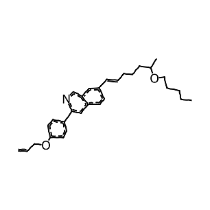 C=CCOc1ccc(-c2cc3ccc(/C=C/CCCC(C)OCCCCC)cc3cn2)cc1